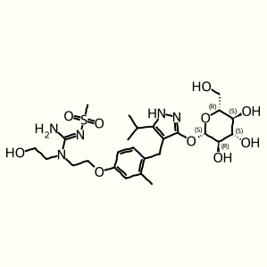 Cc1cc(OCCN(CCO)C(N)=NS(C)(=O)=O)ccc1Cc1c(O[C@@H]2O[C@H](CO)[C@@H](O)[C@H](O)[C@H]2O)n[nH]c1C(C)C